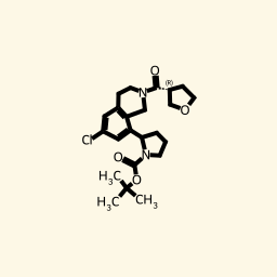 CC(C)(C)OC(=O)N1CCCC1c1cc(Cl)cc2c1CN(C(=O)[C@@H]1CCOC1)CC2